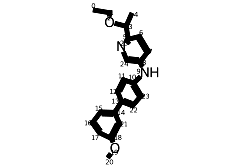 CCOC(C)c1ccc(Nc2ccc(-c3cccc(OC)c3)cc2)cn1